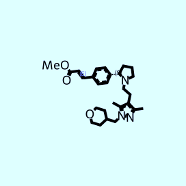 COC(=O)/C=C/c1ccc([C@@H]2CCCN2CCc2c(C)nn(CC3CCOCC3)c2C)cc1